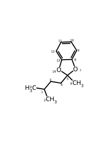 CC(C)CCC1(C)Oc2ccccc2O1